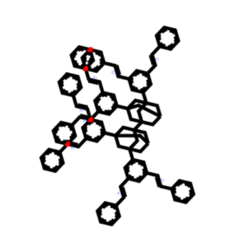 C(=C\c1cc(/C=C/c2ccccc2)cc(C23CC4CC(c5cc(/C=C/c6ccccc6)cc(/C=C/c6ccccc6)c5)(C2)CC(C25CC6CC(c7cc(/C=C/c8ccccc8)cc(/C=C/c8ccccc8)c7)(CC(c7cc(/C=C/c8ccccc8)cc(/C=C/c8ccccc8)c7)(C6)C2)C5)(C4)C3)c1)/c1ccccc1